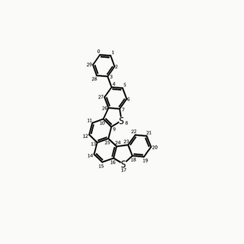 c1ccc(-c2ccc3sc4c(ccc5ccc6sc7ccccc7c6c54)c3c2)cc1